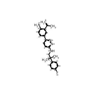 C=C(C)c1cc(-c2ccc(NCC(C)(C)c3ccc(F)cc3)nn2)ccc1N